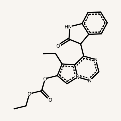 CCOC(=O)Oc1cn2ncnc(C3C(=O)Nc4ccccc43)c2c1CC